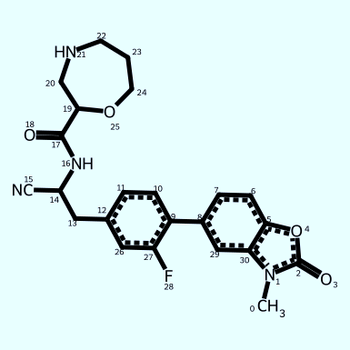 Cn1c(=O)oc2ccc(-c3ccc(CC(C#N)NC(=O)C4CNCCCO4)cc3F)cc21